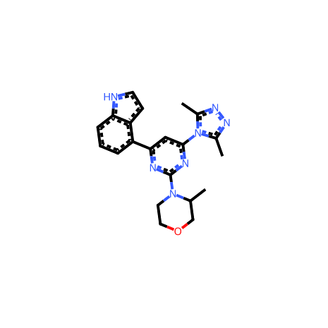 Cc1nnc(C)n1-c1cc(-c2cccc3[nH]ccc23)nc(N2CCOCC2C)n1